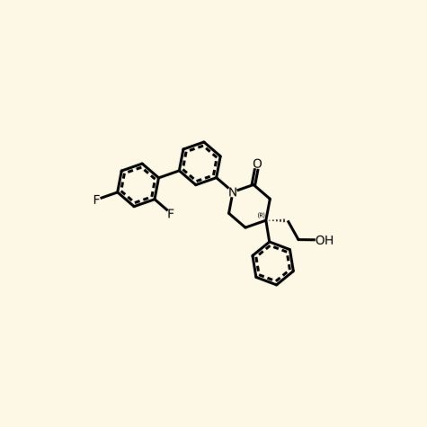 O=C1C[C@@](CCO)(c2ccccc2)CCN1c1cccc(-c2ccc(F)cc2F)c1